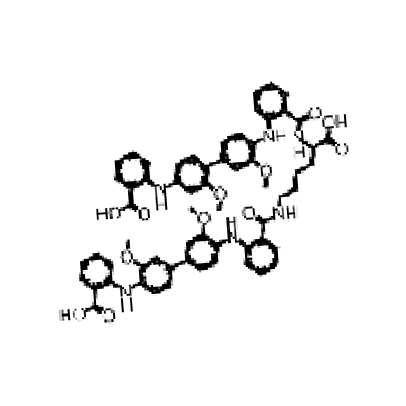 COc1cc(-c2ccc(Nc3ccccc3C(=O)NCCCCC(NC(=O)c3ccccc3Nc3ccc(-c4ccc(Nc5ccccc5C(=O)O)cc4OC)cc3OC)C(=O)O)c(OC)c2)ccc1Nc1ccccc1C(=O)O